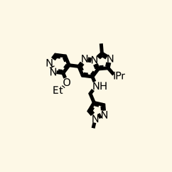 CCOc1nnccc1-c1cc(NCc2cnn(C)c2)c2c(C(C)C)nc(C)n2n1